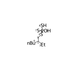 CCCCC(CC)CSP(O)(=S)S